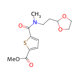 COC(=O)c1ccc(C(=O)N(C)CCC2OCCO2)s1